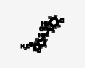 COc1noc2ccc(NCc3cc4cc(Cl)ccc4[nH]c3=O)cc12